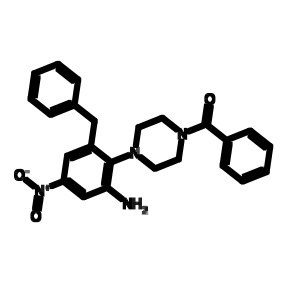 Nc1cc([N+](=O)[O-])cc(Cc2ccccc2)c1N1CCN(C(=O)c2ccccc2)CC1